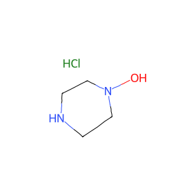 Cl.ON1CCNCC1